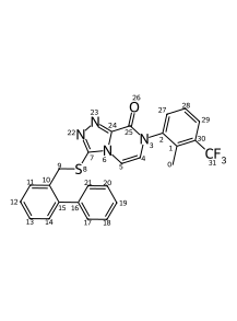 Cc1c(-n2ccn3c(SCc4ccccc4-c4ccccc4)nnc3c2=O)cccc1C(F)(F)F